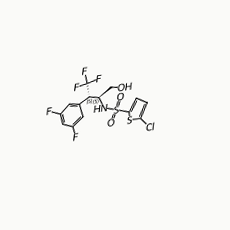 O=S(=O)(N[C@H](CO)[C@H](c1cc(F)cc(F)c1)C(F)(F)F)c1ccc(Cl)s1